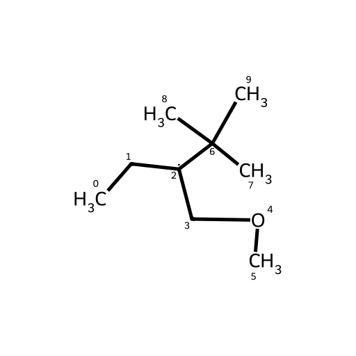 CC[C](COC)C(C)(C)C